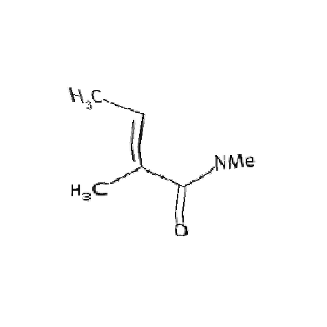 CC=C(C)C(=O)NC